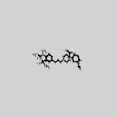 C=CN(C)c1ccc(CCCN2CCC3(CC2)C(=C)Nc2ccc(C#N)cc23)cc1C(C)(C)C